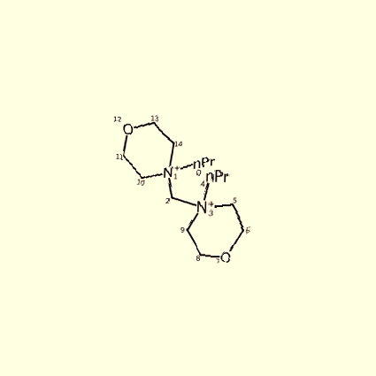 CCC[N+]1(C[N+]2(CCC)CCOCC2)CCOCC1